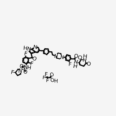 O=C(O)C(F)(F)F.O=C1CC[C@H](NC(=O)c2ccc(N3CCN(CCc4ccc(-c5cnc6[nH]cc(C(=O)c7c(F)ccc(NS(=O)(=O)N8CC[C@@H](F)C8)c7F)c6c5)cc4)CC3)cc2F)C(=O)N1